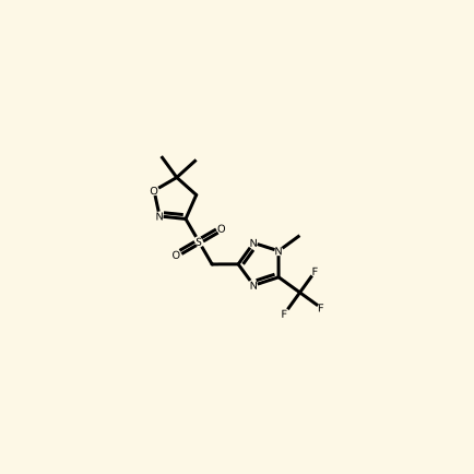 Cn1nc(CS(=O)(=O)C2=NOC(C)(C)C2)nc1C(F)(F)F